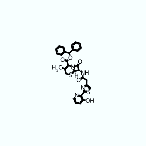 CC1=C(C(=O)OC(c2ccccc2)c2ccccc2)N2C(=O)[C@@H](NC(=O)Cc3csc(-c4ncccc4O)n3)[C@H]2SC1